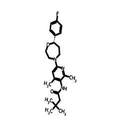 Cc1cc(N2CCO[C@H](c3ccc(F)cc3)CC2)nc(C)c1NC(=O)CC(C)(C)C